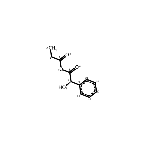 CCC(=O)OC(=O)[C@H](O)c1ccccc1